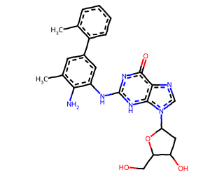 Cc1ccccc1-c1cc(C)c(N)c(Nc2nc(=O)c3ncn(C4CC(O)C(CO)O4)c3[nH]2)c1